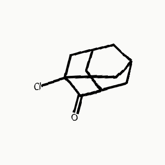 O=C1C2CC3CC(C2)CC1(Cl)C3